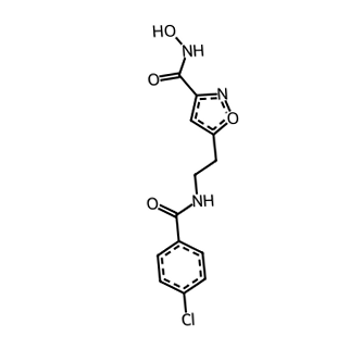 O=C(NCCc1cc(C(=O)NO)no1)c1ccc(Cl)cc1